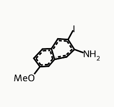 COc1ccc2cc(I)c(N)cc2c1